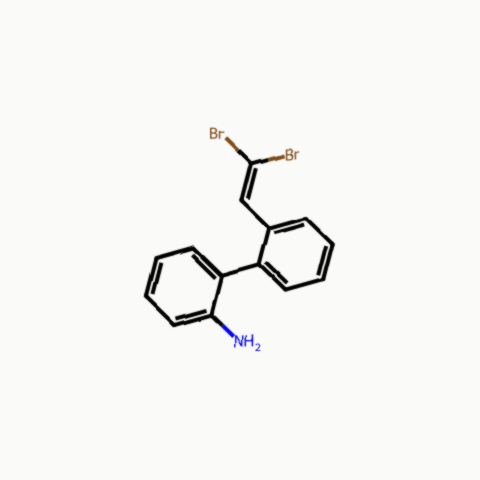 Nc1ccccc1-c1ccccc1C=C(Br)Br